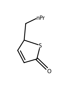 CCCCC1C=CC(=O)S1